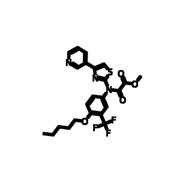 CCCCCOc1ccc(N(C(=O)C(=O)OC)c2nc(-c3cccnc3)cs2)cc1C(F)(F)F